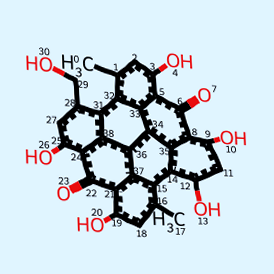 Cc1cc(O)c2c(=O)c3c(O)cc(O)c4c5c(C)cc(O)c6c(=O)c7c(O)cc(CO)c8c1c2c(c34)c(c65)c78